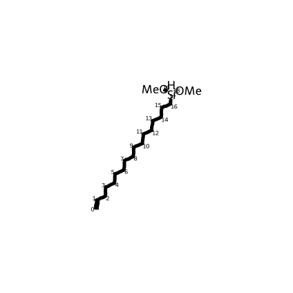 C=CCCCCCCCCCCCCCCC[SiH](OC)OC